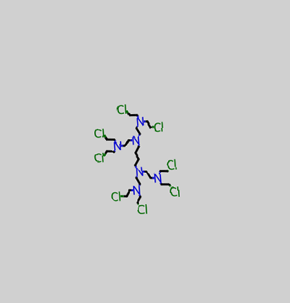 ClCCN(CCCl)CCN(CCCCN(CCN(CCCl)CCCl)CCN(CCCl)CCCl)CCN(CCCl)CCCl